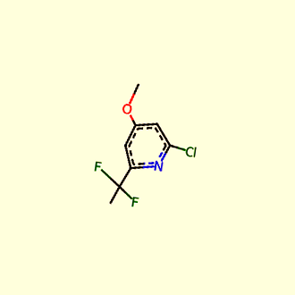 COc1cc(Cl)nc(C(C)(F)F)c1